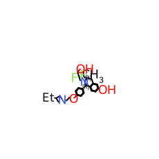 CCC1CN(CCOc2ccc([C@@H]3c4ccc(O)cc4C[C@@H](C)N3CC(F)(F)CO)cc2)C1